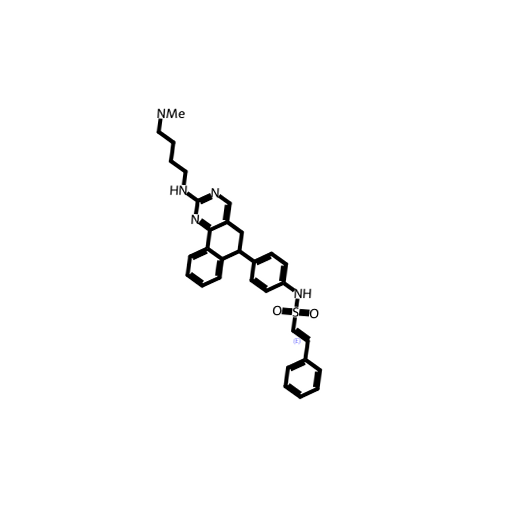 CNCCCCNc1ncc2c(n1)-c1ccccc1C(c1ccc(NS(=O)(=O)/C=C/c3ccccc3)cc1)C2